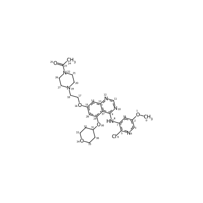 COc1cnc(Cl)c(Nc2ncnc3cc(OCCN4CCN(C(C)=O)CC4)cc(OC4CCOCC4)c23)c1